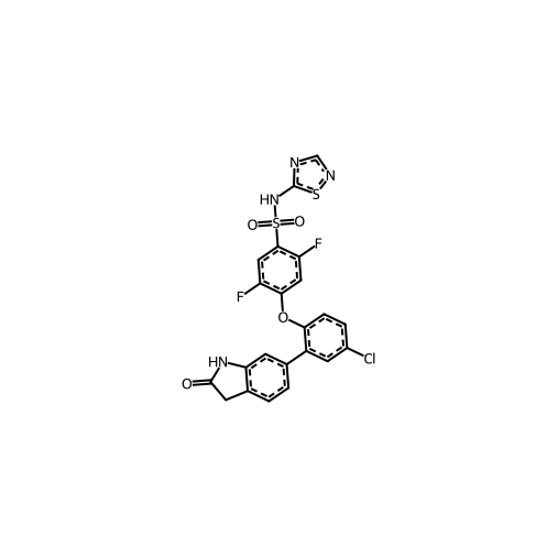 O=C1Cc2ccc(-c3cc(Cl)ccc3Oc3cc(F)c(S(=O)(=O)Nc4ncns4)cc3F)cc2N1